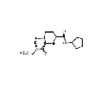 O=C(O)Cn1cnc2c(c1=O)NC(C(=O)NC1CCCC1)CC2